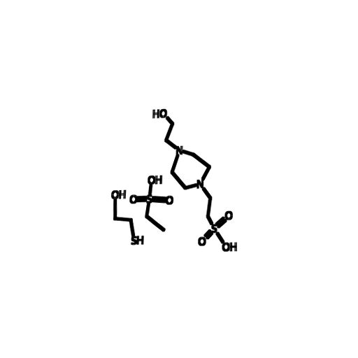 CCS(=O)(=O)O.O=S(=O)(O)CCN1CCN(CCO)CC1.OCCS